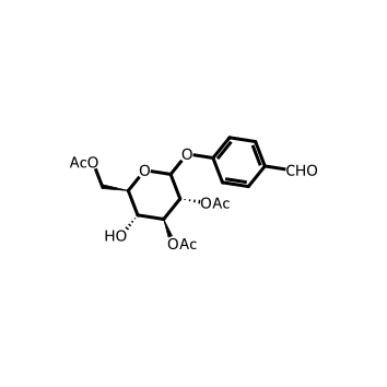 CC(=O)OC[C@H]1OC(Oc2ccc(C=O)cc2)[C@H](OC(C)=O)[C@@H](OC(C)=O)[C@@H]1O